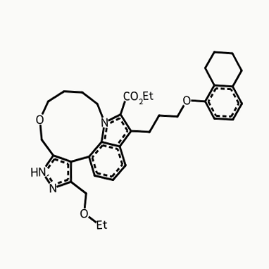 CCOCc1n[nH]c2c1-c1cccc3c(CCCOc4cccc5c4CCCC5)c(C(=O)OCC)n(c13)CCCCOC2